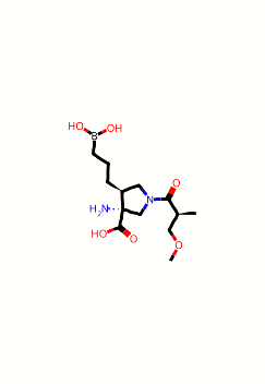 COC[C@H](C)C(=O)N1C[C@H](CCCB(O)O)[C@](N)(C(=O)O)C1